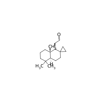 CC1(C)CCC[C@@]2(C)[C@H]1CCC1(CC1)[C@@H]2CC=O